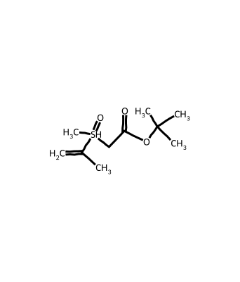 C=C(C)[SH](C)(=O)CC(=O)OC(C)(C)C